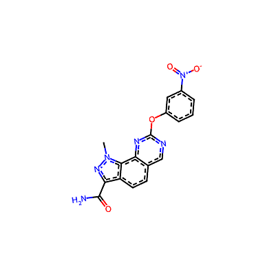 Cn1nc(C(N)=O)c2ccc3cnc(Oc4cccc([N+](=O)[O-])c4)nc3c21